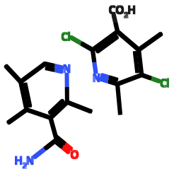 Cc1cnc(C)c(C(N)=O)c1C.Cc1nc(Cl)c(C(=O)O)c(C)c1Cl